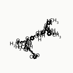 CNc1cccc2c1[nH]c1nc(Oc3cnc(C)nc3)nc(N3C[C@@H]4[C@H](C3)[C@H]4NC(=O)OCc3ccc(NC(=O)[C@H](CCCNC(N)=O)NC(=O)[C@@H](NC(=O)CCCCCN4C(=O)C=CC4=O)C(C)C)cc3)c12